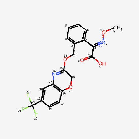 CO/N=C(/C(=O)O)c1ccccc1COC1=Nc2cc(C(F)(F)F)ccc2OC1